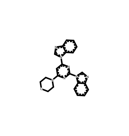 c1ccc2c(c1)ncn2-c1cc(N2CCOCC2)nc(-n2cnc3ccccc32)n1